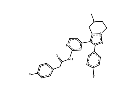 CN1CCn2nc(-c3ccc(F)cc3)c(-c3ccnc(NC(=O)Cc4ccc(F)cc4)c3)c2C1